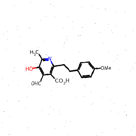 COc1ccc(CCc2nc(C)c(O)c(C=O)c2C(=O)O)cc1